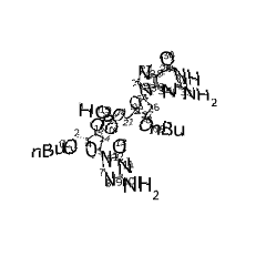 CCCCOC[C@H]1O[C@@H](n2cnc(N)nc2=O)C[C@H]1OP(=O)(O)OC[C@H]1O[C@@H](n2cnc3c(=O)[nH]c(N)nc32)C[C@H]1OCCCC